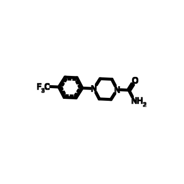 NC(=O)N1CCN(c2ccc(C(F)(F)F)cc2)CC1